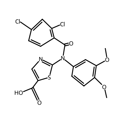 COc1ccc(N(C(=O)c2ccc(Cl)cc2Cl)c2ncc(C(=O)O)s2)cc1OC